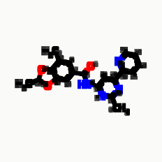 Cc1nc(NC(=O)c2cc(C)c3c(c2)OC(C)O3)cc(-c2ccccn2)n1